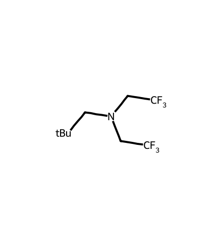 CC(C)(C)CN(CC(F)(F)F)CC(F)(F)F